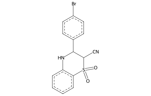 N#CC1C(c2ccc(Br)cc2)Nc2ccccc2S1(=O)=O